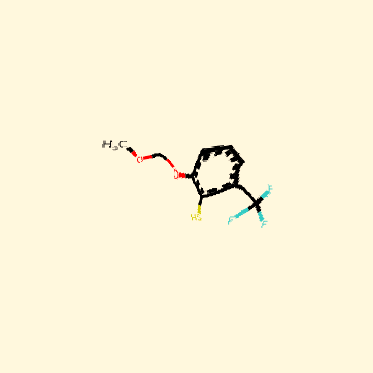 COCOc1cccc(C(F)(F)F)c1S